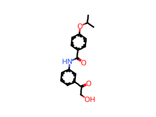 CC(C)Oc1ccc(C(=O)Nc2cccc(C(=O)CO)c2)cc1